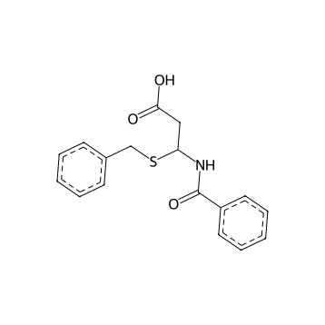 O=C(O)CC(NC(=O)c1ccccc1)SCc1ccccc1